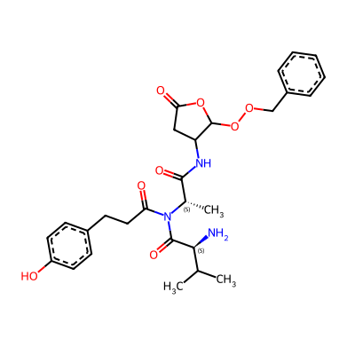 CC(C)[C@H](N)C(=O)N(C(=O)CCc1ccc(O)cc1)[C@@H](C)C(=O)NC1CC(=O)OC1OOCc1ccccc1